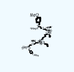 C=CCOP(=O)(OCCCCCOP(=O)(OCC=C)OCC(COCC[C@@H](CCCCCCC)OCc1ccc(OC)cc1)N=[N+]=[N-])OCC(COCC[C@@H](CCCCCCC)OCc1ccc(OC)cc1)N=[N+]=[N-]